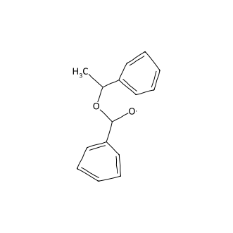 CC(OC([O])c1ccccc1)c1ccccc1